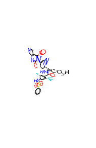 Cn1c(=O)n(-c2ccc(C[C@H](NC(=O)c3cc(F)c(NS(=O)(=O)c4ccccc4)cc3F)C(=O)O)nc2)c(=O)c2ccncc21